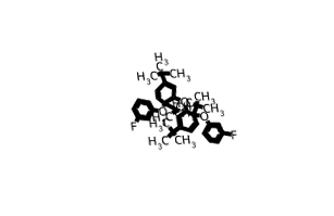 CC(C)(C)C1=CC(OC2C=C(C(C)(C)C)C=CC2(Oc2cccc(F)c2)C(C)(C)C)C(Oc2cccc(F)c2)(C(C)(C)C)C=C1